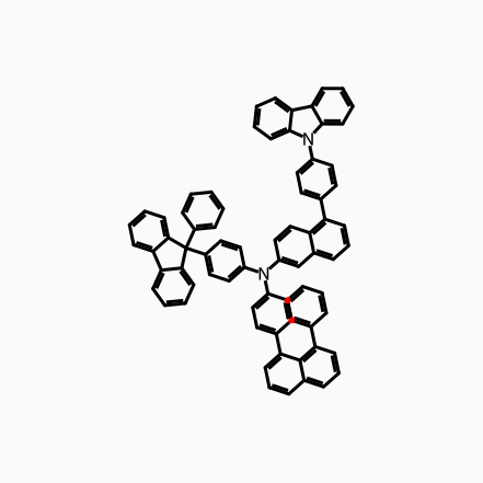 c1ccc(-c2cccc3cccc(-c4ccc(N(c5ccc(C6(c7ccccc7)c7ccccc7-c7ccccc76)cc5)c5ccc6c(-c7ccc(-n8c9ccccc9c9ccccc98)cc7)cccc6c5)cc4)c23)cc1